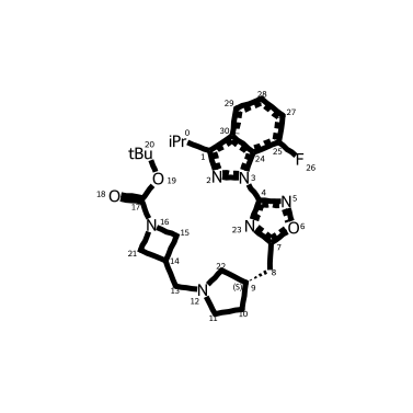 CC(C)c1nn(-c2noc(C[C@@H]3CCN(CC4CN(C(=O)OC(C)(C)C)C4)C3)n2)c2c(F)cccc12